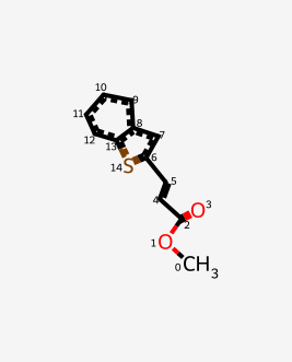 COC(=O)/C=C/c1cc2ccccc2s1